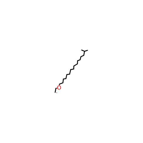 [CH2]COCCCCCCCCCCCCCCC(C)C